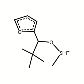 C[SiH](C)OC(c1ccco1)C(C)(C)C